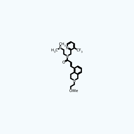 COCCN1CCc2c(C=CC(=O)N(CCN(C)C)Cc3ncccc3C(F)(F)F)cccc2C1